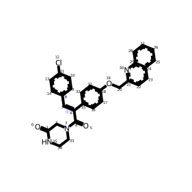 O=C1CN(C(=O)/C(=C/c2ccc(Cl)cc2)c2ccc(OCc3ccc4ccccc4n3)cc2)CCN1